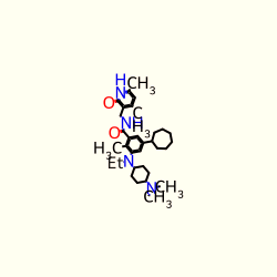 CCN(c1cc(C2CCCCCC2)cc(C(=O)NCc2c(C)cc(C)[nH]c2=O)c1C)C1CCC(N(C)C)CC1